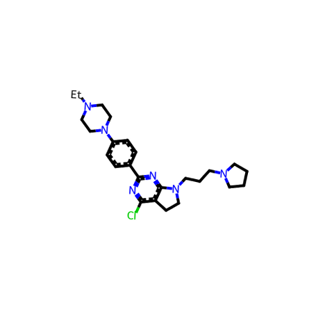 CCN1CCN(c2ccc(-c3nc(Cl)c4c(n3)N(CCCN3CCCC3)CC4)cc2)CC1